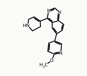 COc1ccc(-c2ccc3ncnc(C4=CCNCC4)c3c2)cn1